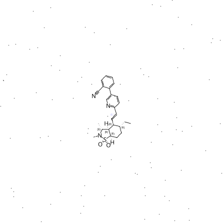 CC[C@@H]1CC[C@@H]2[C@H]([C@H]1/C=C/c1ccc(-c3ccccc3C#N)cn1)[C@@H](C)N(C)S2(=O)=O